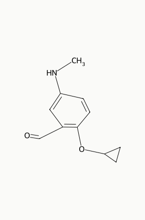 CNc1ccc(OC2CC2)c(C=O)c1